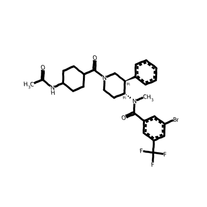 CC(=O)NC1CCC(C(=O)N2CC[C@@H](N(C)C(=O)c3cc(Br)cc(C(F)(F)F)c3)[C@H](c3ccccc3)C2)CC1